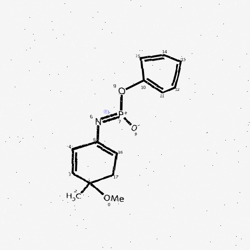 COC1(C)C=CC(/N=[P+](\[O-])Oc2ccccc2)=CC1